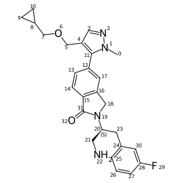 Cn1ncc(COCC2CC2)c1-c1ccc2c(c1)CN([C@H](CN)Cc1cccc(F)c1)C2=O